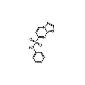 O=S(=O)(Nc1ccccc1)c1ccn2ncnc2n1